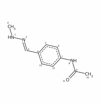 CNN=Cc1ccc(NC(C)=O)cc1